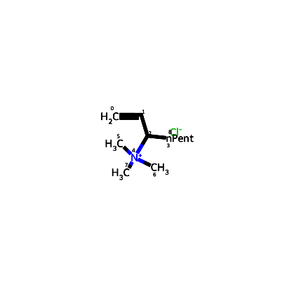 C=CC(CCCCC)[N+](C)(C)C.[Cl-]